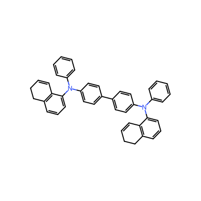 C1=Cc2c(cccc2N(c2ccccc2)c2ccc(-c3ccc(N(c4ccccc4)c4cccc5c4C=CCC5)cc3)cc2)CC1